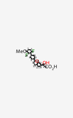 COc1ccc(F)c(-c2ccc(C3CCc4ccc([C@H](O)CC(=O)O)cc4O3)cc2)c1F